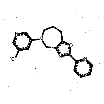 Clc1cncc(N2CCCc3oc(-c4ccccn4)nc3C2)c1